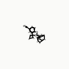 N#Cc1ccc(OCC23CC4CC(CC(C4)C2)C3)c(C2(O)CCC2)c1